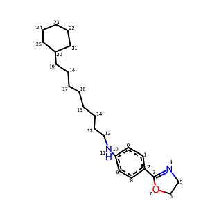 c1cc(C2=NCCO2)ccc1NCCCCCCCCC1CCCCC1